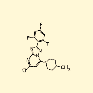 CC1CCN(c2cc(Cl)nc3nc(-c4c(F)cc(F)cc4F)nn23)CC1